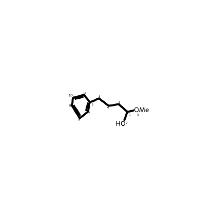 COC(O)CCCc1ccccc1